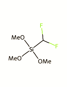 CO[Si](OC)(OC)C(F)F